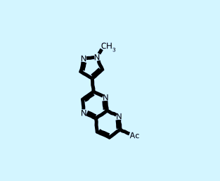 CC(=O)c1ccc2ncc(-c3cnn(C)c3)nc2n1